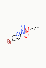 CCCCCOC(=O)Nc1ccc2cc(Br)ccc2n1